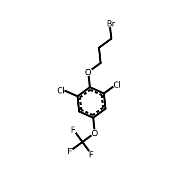 FC(F)(F)Oc1cc(Cl)c(OCCCBr)c(Cl)c1